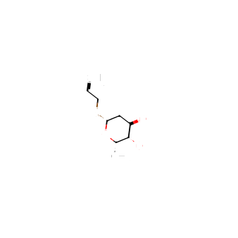 C=CCS[C@H]1CC(=O)[C@@H](O)[C@H](C)O1